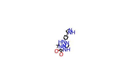 CC(C)(C)Nc1c(Nc2ccnc(Nc3ccc(-c4ccn[nH]4)cc3)n2)c(=O)c1=O